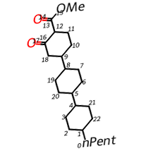 CCCCCC1CCC(C2CCC(C3CCC(C(=O)OC)C(=O)C3)CC2)CC1